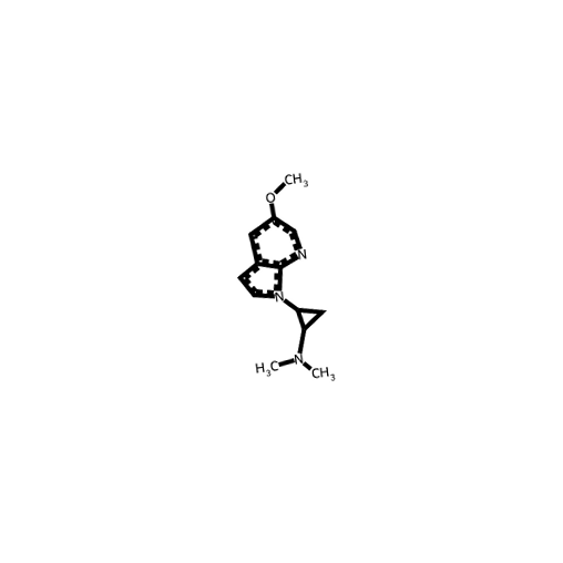 COc1cnc2c(ccn2C2CC2N(C)C)c1